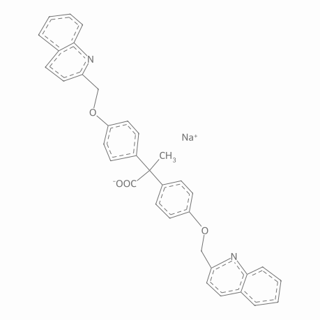 CC(C(=O)[O-])(c1ccc(OCc2ccc3ccccc3n2)cc1)c1ccc(OCc2ccc3ccccc3n2)cc1.[Na+]